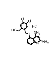 Cl.Nc1nc(N)c2c(OCc3cc(Cl)c(Cl)cc3CO)cccc2n1